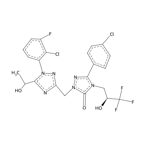 CC(O)c1nc(Cn2nc(-c3ccc(Cl)cc3)n(C[C@H](O)C(F)(F)F)c2=O)nn1-c1cccc(F)c1Cl